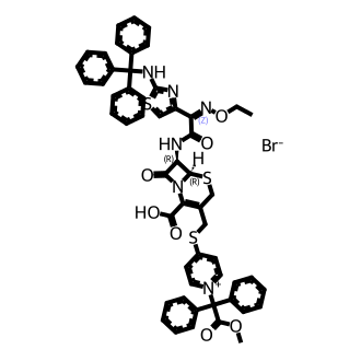 CCO/N=C(\C(=O)N[C@@H]1C(=O)N2C(C(=O)O)=C(CSc3cc[n+](C(C(=O)OC)(c4ccccc4)c4ccccc4)cc3)CS[C@H]12)c1csc(NC(c2ccccc2)(c2ccccc2)c2ccccc2)n1.[Br-]